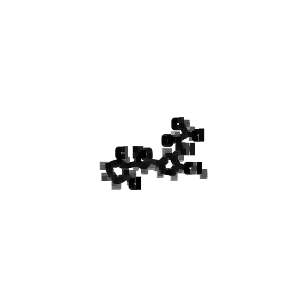 Cc1ccc(-c2cc(-c3c(Cl)cccc3Cl)no2)cc1NC(=O)C(Cl)Cl